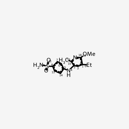 CCc1cc(Nc2ccc(S(N)(=O)=O)cc2)c(C)nc1OC